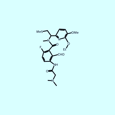 CCOc1nc(C(CSC)N(C)C(=O)c2c(F)ccc(NC(=O)CN(C)C)c2C=O)ccc1OC